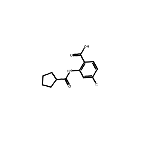 O=C(O)c1ccc(Cl)cc1NC(=O)C1CCCC1